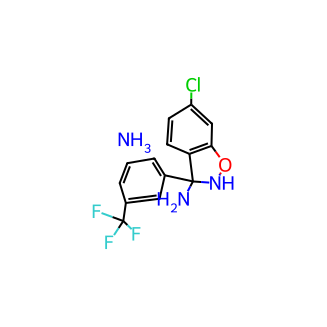 N.NC1(c2cccc(C(F)(F)F)c2)NOc2cc(Cl)ccc21